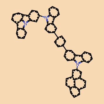 c1cc2ccc3cc(-n4c5ccccc5c5cc(-c6ccc(-c7ccc8c(c7)c7ccccc7n8-c7ccc8c9cccc%10c%11ccccc%11n(c8c7)c%109)cc6)ccc54)cc4ccc(c1)c2c34